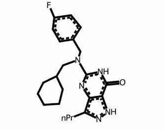 CCCc1n[nH]c2c(=O)[nH]c(N(Cc3ccc(F)cc3)CC3CCCCC3)nc12